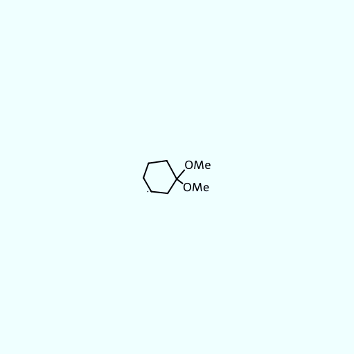 COC1(OC)C[CH]CCC1